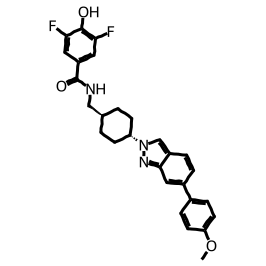 COc1ccc(-c2ccc3cn([C@H]4CC[C@H](CNC(=O)c5cc(F)c(O)c(F)c5)CC4)nc3c2)cc1